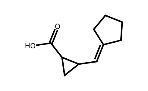 O=C(O)C1CC1C=C1CCCC1